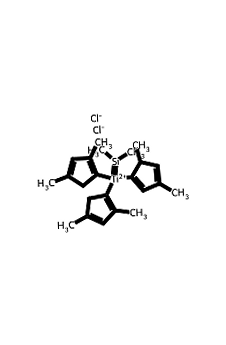 CC1=CC(C)[C]([Ti+2]([C]2=C(C)C=C(C)C2)([C]2=C(C)C=C(C)C2)=[Si](C)C)=C1.[Cl-].[Cl-]